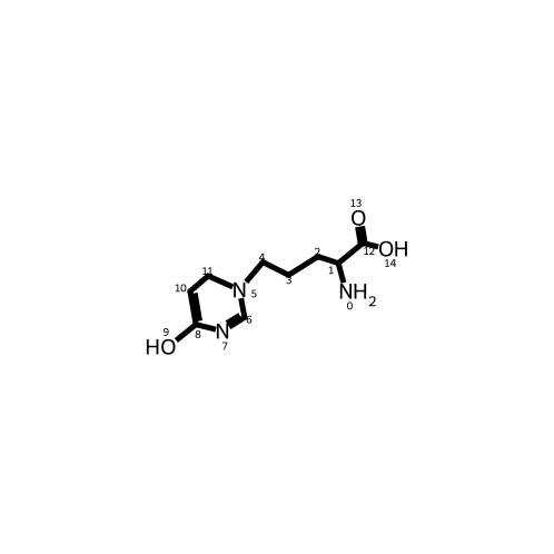 NC(CCCN1C=NC(O)=CC1)C(=O)O